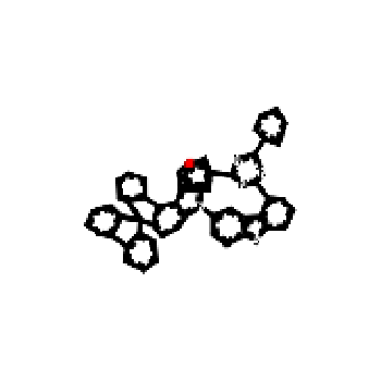 c1ccc(-c2nc(-c3ccccc3)nc(-c3cccc4sc5ccc(-n6c7ccccc7c7c8c(ccc76)C6(c7ccccc7-c7ccccc76)c6ccccc6-8)cc5c34)n2)cc1